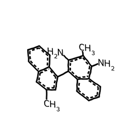 Cc1cc(-c2c(N)c(C)c(N)c3ccccc23)c2ccccc2c1